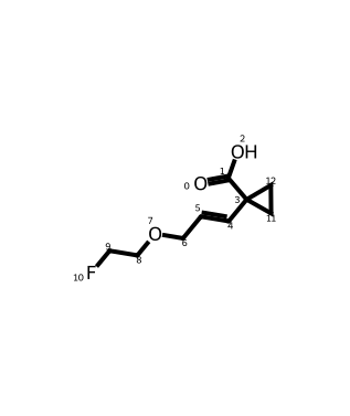 O=C(O)C1(C=CCOCCF)CC1